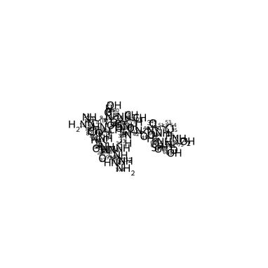 CC[C@H](C)[C@H](NC(=O)[C@H](CCCNC(=N)N)NC(=O)[C@H](CC(=O)O)NC(=O)[C@@H](NC(=O)[C@H](CCCNC(=N)N)NC(=O)CNC(=O)CNC(=O)[C@H](Cc1ccccc1)NC(=O)[C@H](CS)NC(=O)[C@H](CO)NC(=O)[C@@H](N)CO)[C@@H](C)CC)C(=O)N[C@@H](Cc1ccccc1)C(=O)N[C@H]([C]=O)CCCNC(=N)N